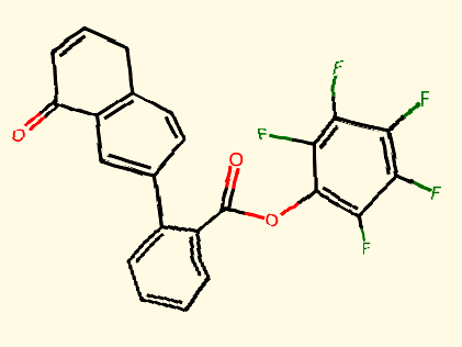 O=C1C=CCc2ccc(-c3ccccc3C(=O)Oc3c(F)c(F)c(F)c(F)c3F)cc21